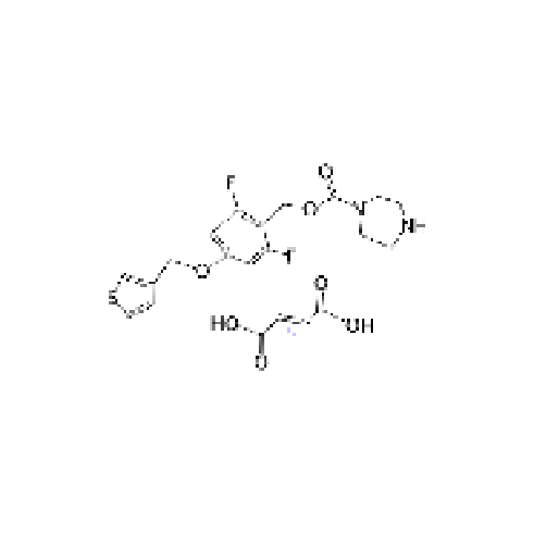 O=C(O)/C=C/C(=O)O.O=C(OCc1c(F)cc(OCc2ccsc2)cc1F)N1CCNCC1